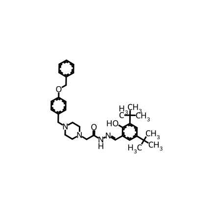 CC(C)(C)c1cc(/C=N/NC(=O)CN2CCN(Cc3ccc(OCc4ccccc4)cc3)CC2)c(O)c(C(C)(C)C)c1